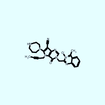 CC#CCn1c(N2CCCNCC2)c(C#N)c2ncn(Cc3nc4ccccc4c(C)[n+]3[O-])c(=O)c21